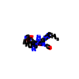 CN1CCN(c2ccc(C(=O)Nc3n[nH]c4c3CN(S(=O)(=O)c3cccnc3)C4(C)C)c(NC3CCOCC3)c2)CC1